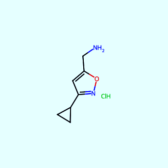 Cl.NCc1cc(C2CC2)no1